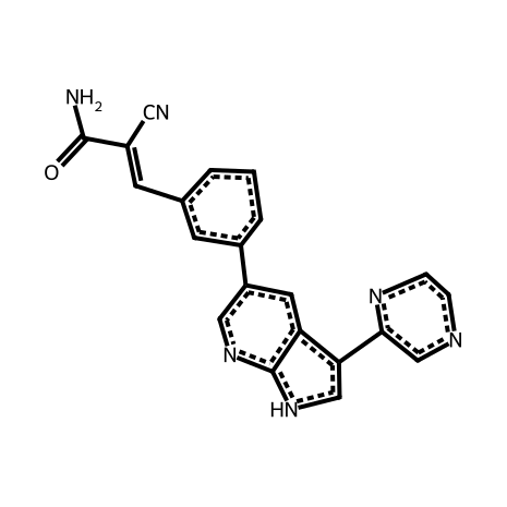 N#C/C(=C\c1cccc(-c2cnc3[nH]cc(-c4cnccn4)c3c2)c1)C(N)=O